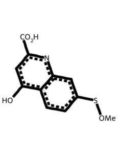 COSc1ccc2c(O)cc(C(=O)O)nc2c1